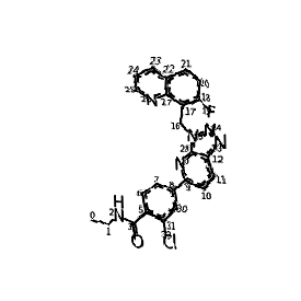 CCNC(=O)c1ccc(-c2ccc3nnn(Cc4c(F)ccc5cccnc45)c3n2)cc1Cl